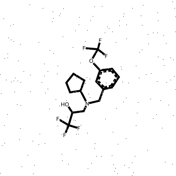 OC(CN(Cc1cccc(OC(F)(F)F)c1)C1CCCC1)C(F)(F)F